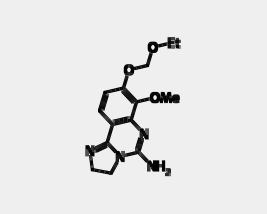 CCOCOc1ccc2c(c1OC)N=C(N)N1CCN=C21